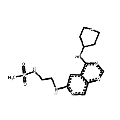 CS(=O)(=O)NCCNc1cc2c(NC3CCCCC3)ncnc2cn1